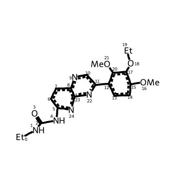 CCNC(=O)Nc1ccc2ncc(-c3ccc(OC)c(OCC)c3OC)nc2n1